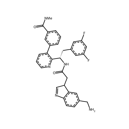 CNC(=O)c1cccc(-c2cccnc2[C@H](Cc2cc(F)cc(F)c2)NC(=O)CC2C=Nc3ccc(CN)cc32)c1